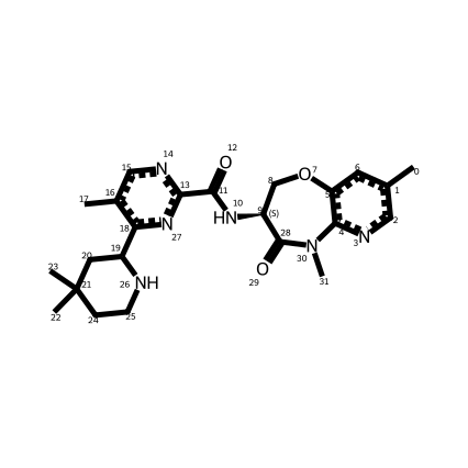 Cc1cnc2c(c1)OC[C@H](NC(=O)c1ncc(C)c(C3CC(C)(C)CCN3)n1)C(=O)N2C